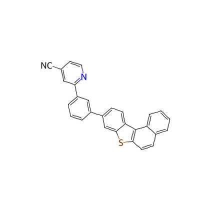 N#Cc1ccnc(-c2cccc(-c3ccc4c(c3)sc3ccc5ccccc5c34)c2)c1